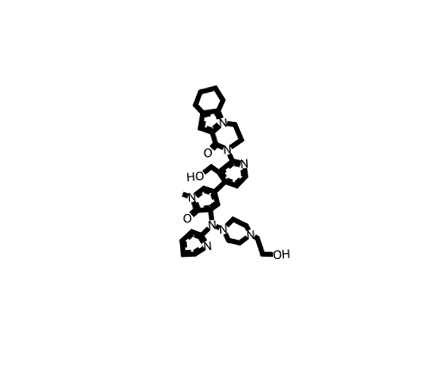 Cn1cc(-c2ccnc(N3CCn4c(cc5c4CCCC5)C3=O)c2CO)cc(N(c2ccccn2)N2CCN(CCO)CC2)c1=O